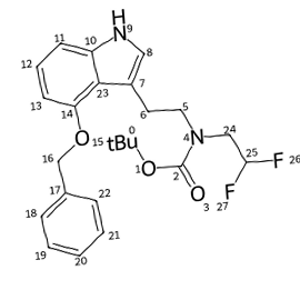 CC(C)(C)OC(=O)N(CCc1c[nH]c2cccc(OCc3ccccc3)c12)CC(F)F